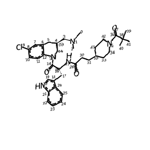 CN(C)C[C@@H]1Cc2cc(Cl)ccc2N(C(=O)[C@@H](Cc2c[nH]c3ccccc23)NC(=O)CCC2CCN(C(=O)C(C)(C)C)CC2)C1